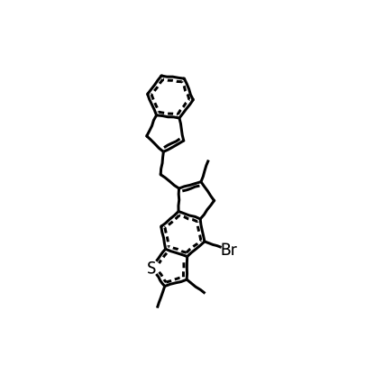 CC1=C(CC2=Cc3ccccc3C2)c2cc3sc(C)c(C)c3c(Br)c2C1